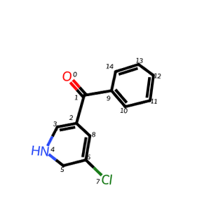 O=C(C1=[C]NCC(Cl)=C1)c1ccccc1